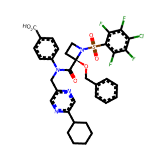 O=C(O)c1ccc(N(Cc2cnc(C3CCCCC3)cn2)C(=O)[C@]2(OCc3ccccc3)CCN2S(=O)(=O)c2c(F)c(F)c(Cl)c(F)c2F)cc1